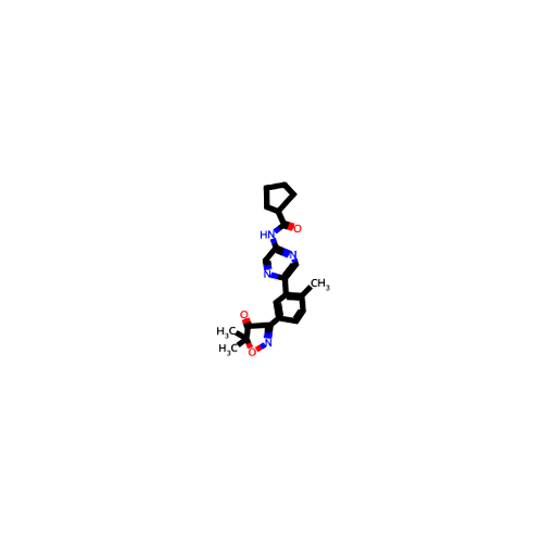 Cc1ccc(C2=NOC(C)(C)C2=O)cc1-c1cnc(NC(=O)C2CCCC2)cn1